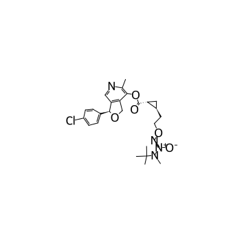 Cc1ncc2c(c1OC(=O)[C@@H]1C[C@H]1CCON=[N+]([O-])N(C)C(C)(C)C)CO[C@H]2c1ccc(Cl)cc1